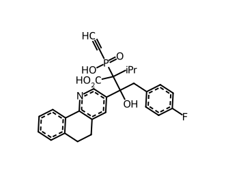 C#CP(=O)(O)C(C(=O)O)(C(C)C)C(O)(Cc1ccc(F)cc1)c1cnc2c(c1)CCc1ccccc1-2